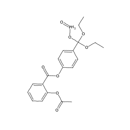 CCOC(OCC)(O[PH2]=O)c1ccc(OC(=O)c2ccccc2OC(C)=O)cc1